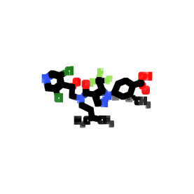 CC(C)CCN(CC(=O)c1c(Cl)cncc1Cl)C(=O)c1cnn([C@H]2CCC(C(=O)O)[C@H](C)C2)c1C(F)(F)F